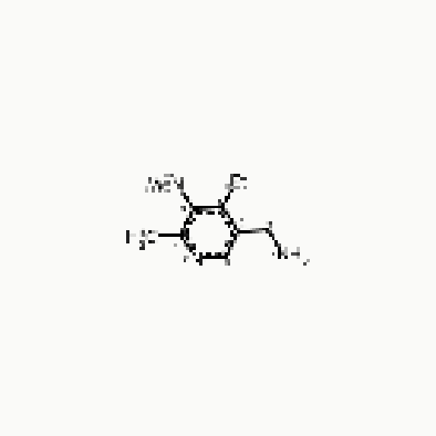 CCc1c(CN)cnc(C)c1NC